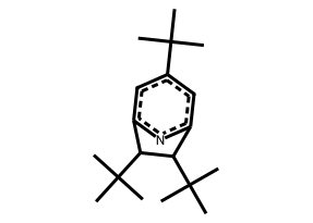 CC(C)(C)c1cc2nc(c1)C(C(C)(C)C)C2C(C)(C)C